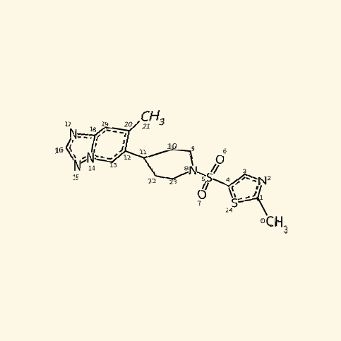 Cc1ncc(S(=O)(=O)N2CCC(c3cn4ncnc4cc3C)CC2)s1